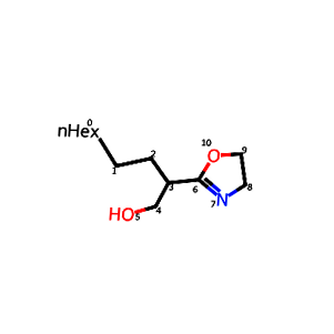 CCCCCCCCC(CO)C1=NCCO1